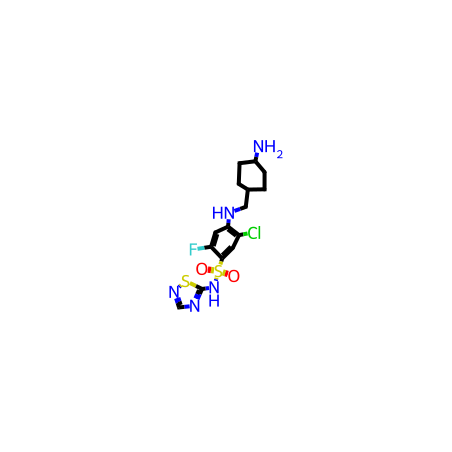 NC1CCC(CNc2cc(F)c(S(=O)(=O)Nc3ncns3)cc2Cl)CC1